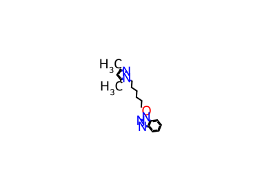 Cc1cc(C)n(CCCCCCOn2nnc3ccccc32)n1